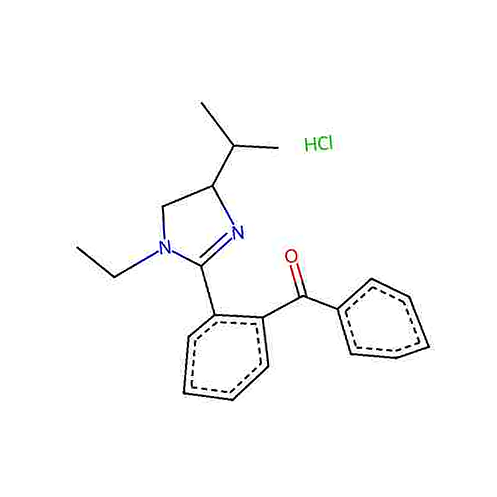 CCN1CC(C(C)C)N=C1c1ccccc1C(=O)c1ccccc1.Cl